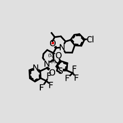 CCC[C@H]1N(C(=O)c2ncccc2C(F)(F)F)CCC[C@@]1(Oc1csc(C(F)(F)F)c1)C(=O)N1CCc2cc(Cl)ccc2C1CC(C)C